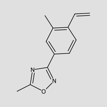 C=Cc1ccc(-c2noc(C)n2)cc1C